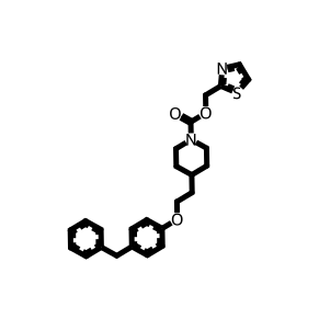 O=C(OCc1nccs1)N1CCC(CCOc2ccc(Cc3ccccc3)cc2)CC1